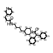 O=C(/C=C\c1cccnc1)NCCCCC1CCN(C(=O)C(c2ccccc2)c2ccccc2)CC1